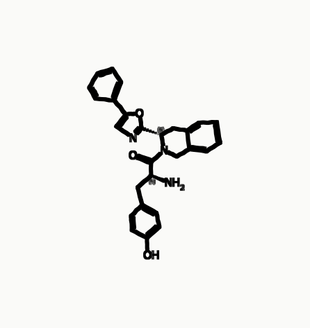 N[C@@H](Cc1ccc(O)cc1)C(=O)N1Cc2ccccc2C[C@H]1c1ncc(-c2ccccc2)o1